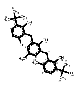 Cc1cc(Cc2c(C)ccc(C(C)(C)C)c2O)c(O)c(Cc2c(C)ccc(C(C)(C)C)c2O)c1